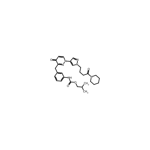 CC(C)COC(=O)Nc1cccc(Cc2nn(-c3cnn(CCCC(=O)N4CCCCC4)c3)ccc2=O)c1